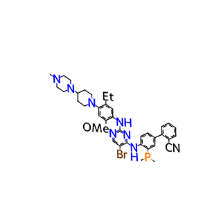 CCc1cc(Nc2ncc(Br)c(Nc3ccc(-c4ccccc4C#N)cc3P(C)C)n2)c(OC)cc1N1CCC(N2CCN(C)CC2)CC1